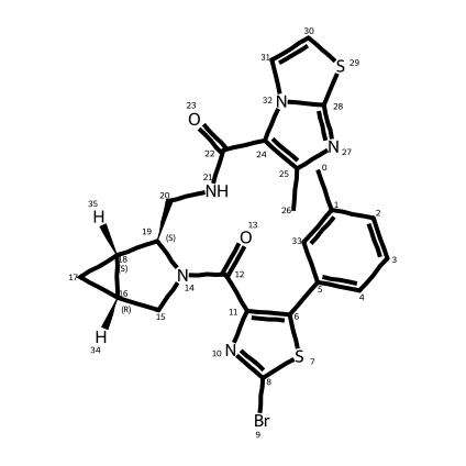 Cc1cccc(-c2sc(Br)nc2C(=O)N2C[C@@H]3C[C@@H]3[C@H]2CNC(=O)c2c(C)nc3sccn23)c1